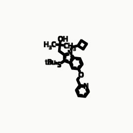 CC(C)(O)Cc1c(SC(C)(C)C)c2cc(OCc3ccccn3)ccc2n1CC1CCC1